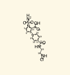 NS(=O)(=O)n1ccc(-c2ccc(C(=O)NCCNCl)cc2)c1C(=O)O